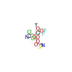 O=C(COC(=O)c1cncs1)O[C@@H](Cc1c(Cl)cncc1Cl)c1ccc(OC(F)F)c(OCC2CC2)c1